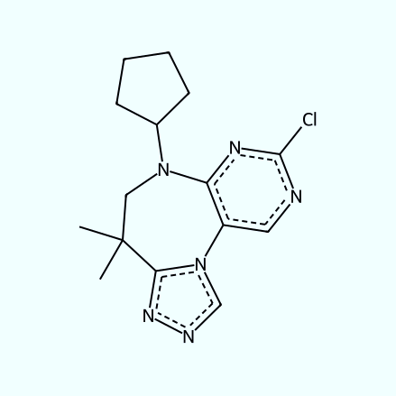 CC1(C)CN(C2CCCC2)c2nc(Cl)ncc2-n2cnnc21